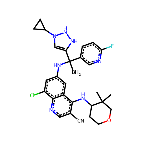 BC(Nc1cc(Cl)c2ncc(C#N)c(NC3CCOCC3(C)C)c2c1)(C1=CN(C2CC2)NN1)c1ccc(F)nc1